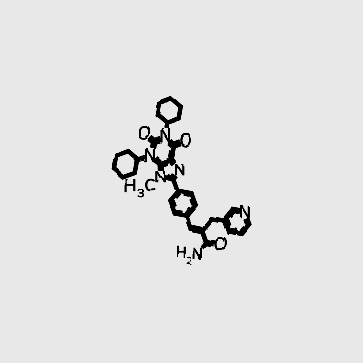 Cn1c(-c2ccc(/C=C(\Cc3cccnc3)C(N)=O)cc2)nc2c(=O)n(C3CCCCC3)c(=O)n(C3CCCCC3)c21